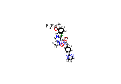 CC(C)C(=O)N1[C@H](C)CN(Cc2c(F)cccc2OC(C(C)C)C(F)(F)F)C[C@@H]1C(=O)NCc1ccc(-c2ncccn2)cc1